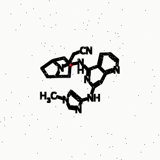 Cn1cnc(Nc2cc3ncccc3c(NC3CC4CCC(C3)N4CCC#N)n2)c1